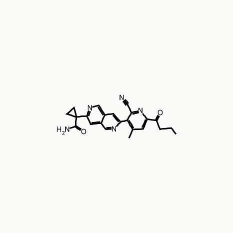 CCCC(=O)c1cc(C)c(-c2cc3cnc(C4(C(N)=O)CC4)cc3cn2)c(C#N)n1